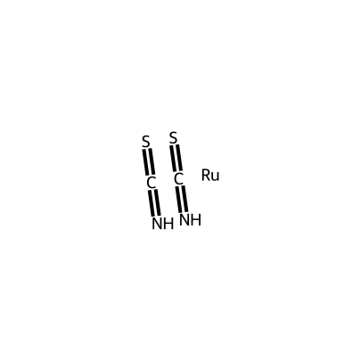 N=C=S.N=C=S.[Ru]